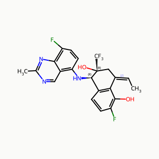 C/C=C1/C[C@](O)(C(F)(F)F)[C@H](Nc2ccc(F)c3nc(C)ncc23)c2ccc(F)c(O)c21